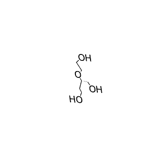 OCCO[C@H](CO)CCO